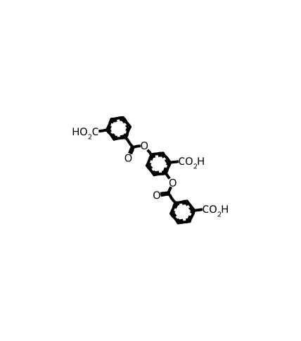 O=C(O)c1cccc(C(=O)Oc2ccc(OC(=O)c3cccc(C(=O)O)c3)c(C(=O)O)c2)c1